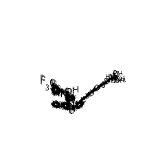 O=C(CCOCCOCCOCCOCCCc1cccc(C(=O)Nc2ccc(N3CCCCC3)cc2-c2cc(C(O)NCc3cccc(C(F)(F)F)c3)ccn2)c1)NC(CO)(CO)CO